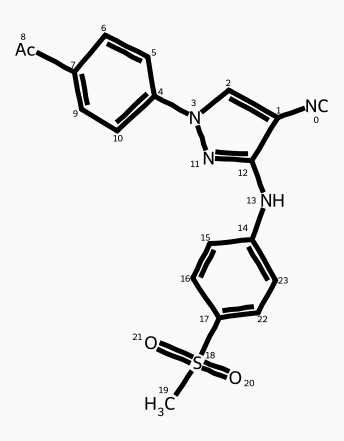 [C-]#[N+]c1cn(-c2ccc(C(C)=O)cc2)nc1Nc1ccc(S(C)(=O)=O)cc1